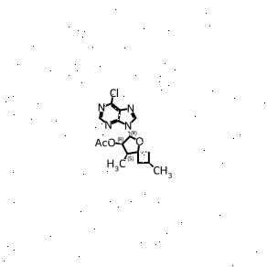 CC(=O)O[C@H]1[C@H](n2cnc3c(Cl)ncnc32)O[C@]2(C[C@@H](C)C2)[C@H]1C